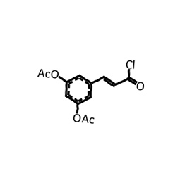 CC(=O)Oc1cc(/C=C/C(=O)Cl)cc(OC(C)=O)c1